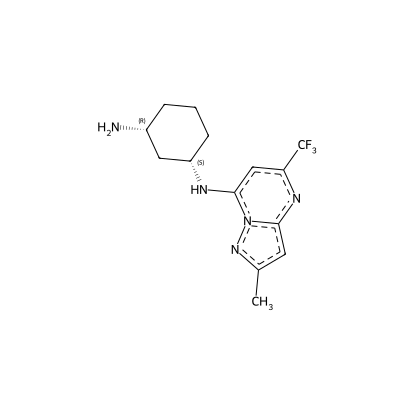 Cc1cc2nc(C(F)(F)F)cc(N[C@H]3CCC[C@@H](N)C3)n2n1